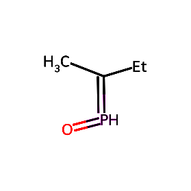 CCC(C)=[PH]=O